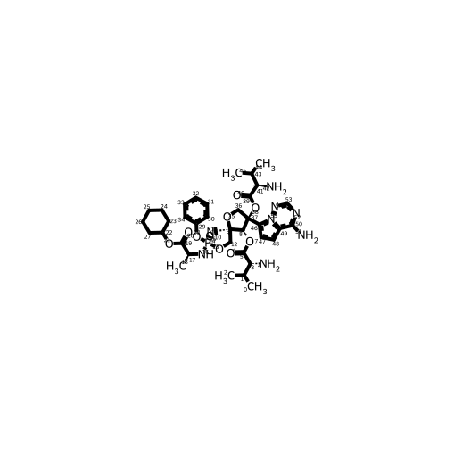 CC(C)[C@@H](N)C(=O)O[C@@H]1[C@@](C#N)(COP(=O)(N[C@@H](C)C(=O)OC2CCCCC2)Oc2ccccc2)OC[C@]1(OC(=O)[C@H](N)C(C)C)c1ccc2c(N)ncnn12